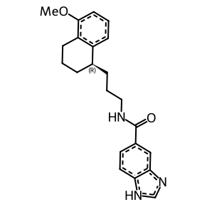 COc1cccc2c1CCC[C@@H]2CCCNC(=O)c1ccc2[nH]cnc2c1